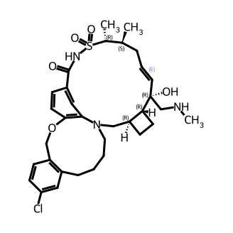 CNC[C@]1(O)/C=C/C[C@H](C)[C@@H](C)S(=O)(=O)NC(=O)c2ccc3c(c2)N(CCCCc2cc(Cl)ccc2CO3)C[C@@H]2CC[C@H]21